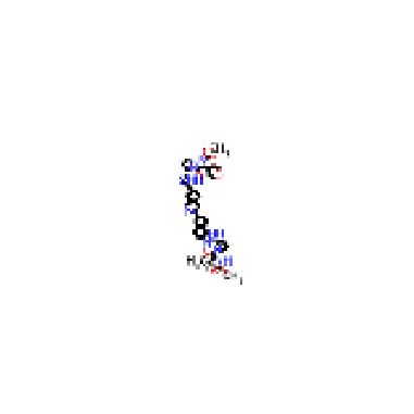 COC(=O)N[C@H](C(=O)N1CCC[C@H]1c1nc2c([nH]1)-c1ccc(-c3cc4ccc(-c5cnc([C@@H]6CCCN6C(=O)[C@@H](NC(=O)OC)C6CCOCC6)[nH]5)cc4cn3)cc1CC2)C(C)C